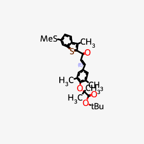 CSc1ccc2c(C)c(C(=O)/C=C/c3cc(C)c(OC(C)(C)C(=O)OC(C)(C)C)c(C)c3)sc2c1